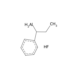 CC[CH]([AlH2])c1ccccc1.F